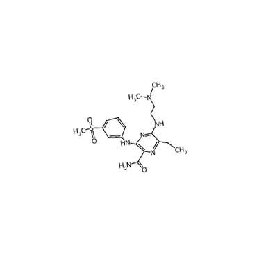 CCc1nc(C(N)=O)c(Nc2cccc(S(C)(=O)=O)c2)nc1NCCN(C)C